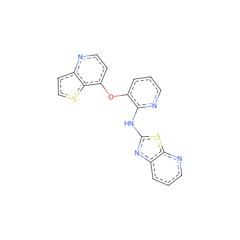 c1cnc(Nc2nc3cccnc3s2)c(Oc2ccnc3ccsc23)c1